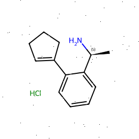 C[C@H](N)c1ccccc1C1=CCCC1.Cl